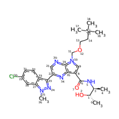 C[C@H](O)[C@H](C)NC(=O)c1cn(COCC[Si](C)(C)C)c2ncc(-c3nn(C)c4cc(Cl)ccc34)nc12